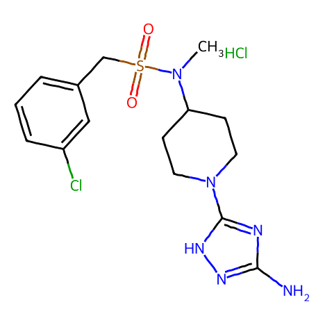 CN(C1CCN(c2nc(N)n[nH]2)CC1)S(=O)(=O)Cc1cccc(Cl)c1.Cl